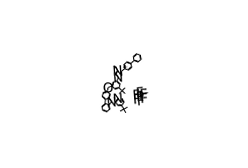 C[n+]1cn(-c2cc(Oc3ccc4c5ccccc5n(-c5cc(C(C)(C)C)ccn5)c4c3)cc(C(C)(C)C)c2)cc1-c1ccc(-c2ccccc2)cc1.F[P-](F)(F)(F)(F)F